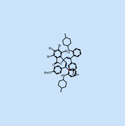 COc1ccc(/C(=C\C2(/C=C(\c3ccc(OC)cc3)c3ccccc3NC3CCC(C)CC3)OC(=O)c3c(Br)c(Br)c(Br)c(Br)c32)c2ccccc2NC2CCC(C)CC2)cc1